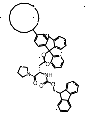 O=C(C[C@H](NC(=O)OCC1c2ccccc2-c2ccccc21)C(=O)N1CCCC1)OC(c1ccccc1)(c1ccc(C2CCCCCCCCCCCCC2)cc1)c1ccccc1Cl